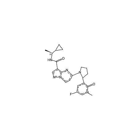 C[C@H](NC(=O)c1cnn2ccc(N3CCCC3c3cc(F)cn(C)c3=O)nc12)C1CC1